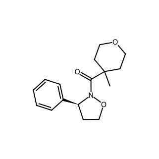 CC1(C(=O)N2OCC[C@H]2c2ccccc2)CCOCC1